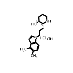 Cc1ccc2c(ncn2CCC[C@H]2NCCC[C@@H]2O)c1C.Cl.Cl